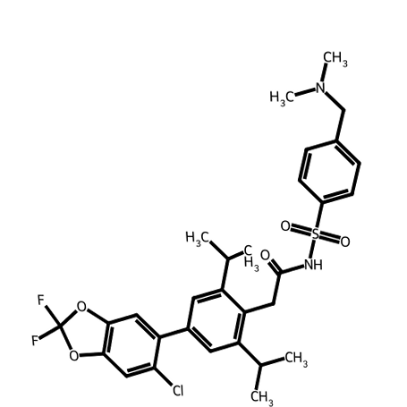 CC(C)c1cc(-c2cc3c(cc2Cl)OC(F)(F)O3)cc(C(C)C)c1CC(=O)NS(=O)(=O)c1ccc(CN(C)C)cc1